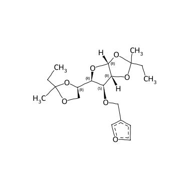 CCC1(C)O[C@H]2O[C@H]([C@H]3COC(C)(CC)O3)[C@H](OCc3ccoc3)[C@H]2O1